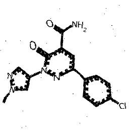 Cn1cc(-n2nc(-c3ccc(Cl)cc3)cc(C(N)=O)c2=O)cn1